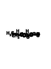 CC(C)CCNCc1ccc2c(c1)CCC(NC(=O)c1ccc(OCC3CCCO3)cc1)C2